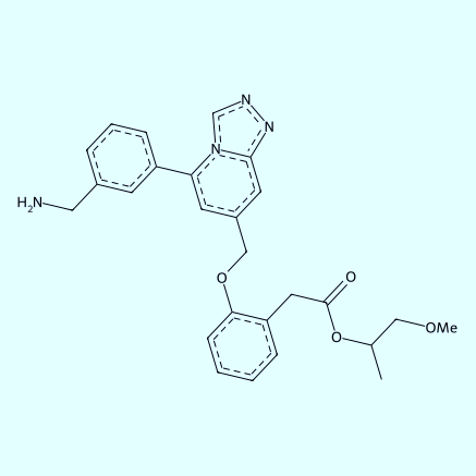 COCC(C)OC(=O)Cc1ccccc1OCc1cc(-c2cccc(CN)c2)n2cnnc2c1